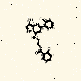 Bc1cnn2c(NCCNC(=O)c3ccccc3Cl)cc(-c3ccccc3Cl)nc12